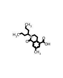 CCCC(CCC)N1CCc2c(C(=O)O)cc(C)cc2C1=O